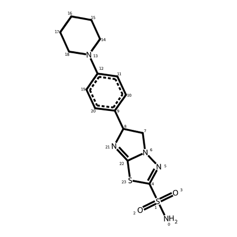 NS(=O)(=O)C1=NN2CC(c3ccc(N4CCCCC4)cc3)N=C2S1